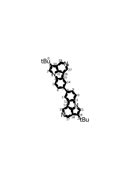 CC(C)(C)c1cn2c3ccc(-c4ccc5c(c4)c4cncc6c(C(C)(C)C)cn5c64)cc3c3cncc1c32